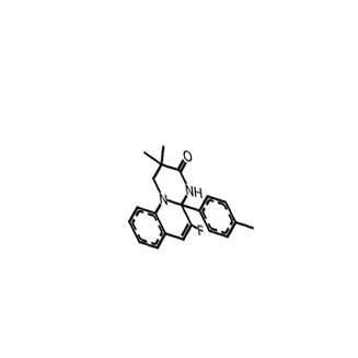 Cc1ccc(C23NC(=O)C(C)(C)CN2c2ccccc2C=C3F)cc1